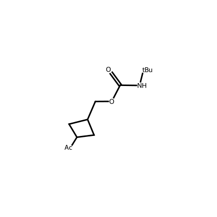 CC(=O)C1CC(COC(=O)NC(C)(C)C)C1